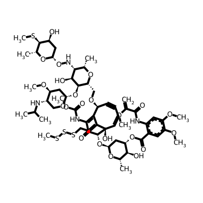 C=C(OC)C(=O)Nc1cc(OC)c(OC)cc1C(=O)O[C@H]1C[C@H](O[C@@H]2C(=O)C(NC(=O)OC)=C3/C(=C\CSSSC)[C@]2(O)/C=C\C#C[C@@H]3OC[C@H]2O[C@@H](C)[C@@H](NO[C@H]3C[C@H](O)[C@H](SC)[C@@H](C)O3)[C@H](O)[C@@H]2O[C@H]2C[C@H](OC)[C@@H](NC(C)C)CO2)O[C@@H](C)[C@@H]1O